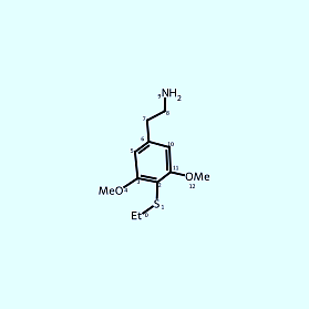 CCSc1c(OC)cc(CCN)cc1OC